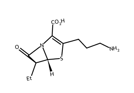 CCC1C(=O)N2C(C(=O)O)=C(CCCN)S[C@H]12